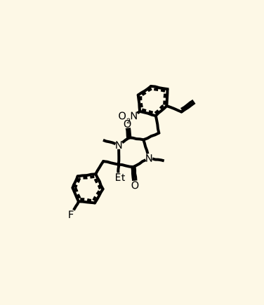 C=Cc1cccc([N+](=O)[O-])c1CC1C(=O)N(C)C(CC)(Cc2ccc(F)cc2)C(=O)N1C